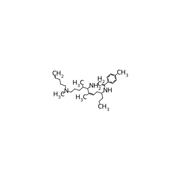 C=CCCCN(C)CCCC(C)C(N)/C(C)=C\CC(CCC)NC(=C)c1ccc(C)cc1